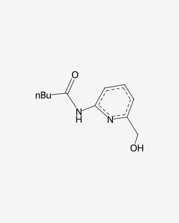 CCCCC(=O)Nc1cccc(CO)n1